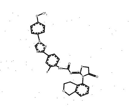 O=C(N=C1SCC(=O)N1c1cccc2c1CCOC2)Nc1ccc(-c2ncn(-c3ccc(OC(F)(F)F)cc3)n2)cc1F